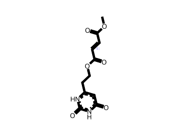 COC(=O)/C=C/C(=O)OCCc1cc(=O)[nH]c(=O)[nH]1